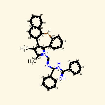 Cc1c2c(n(/C=N/C(NC(=N)c3ccccc3)c3ccccc3)c1C)-c1ccccc1Sc1c-2ccc2ccccc12